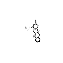 C[C@H]1CNCCN1CC1=Nc2ccccc2CC1=O